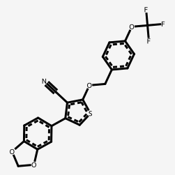 N#Cc1c(-c2ccc3c(c2)OCO3)csc1OCc1ccc(OC(F)(F)F)cc1